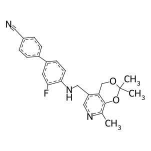 Cc1ncc(CNc2ccc(-c3ccc(C#N)cc3)cc2F)c2c1OC(C)(C)OC2